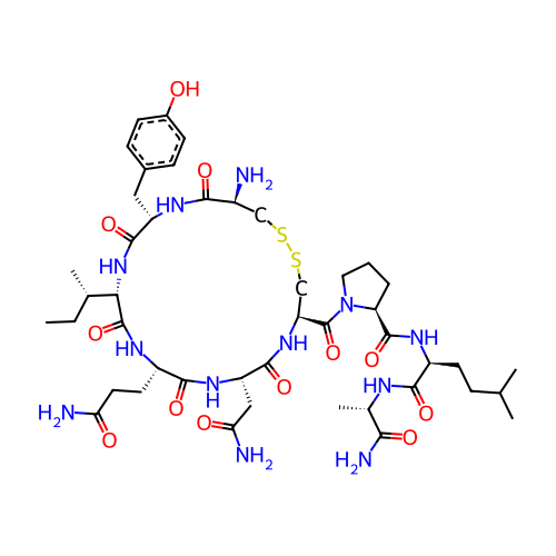 CC[C@H](C)[C@@H]1NC(=O)[C@H](Cc2ccc(O)cc2)NC(=O)[C@@H](N)CSSC[C@@H](C(=O)N2CCC[C@H]2C(=O)N[C@@H](CCC(C)C)C(=O)N[C@@H](C)C(N)=O)NC(=O)[C@H](CC(N)=O)NC(=O)[C@H](CCC(N)=O)NC1=O